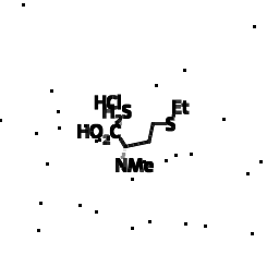 CCSCC[C@H](NC)C(=O)O.Cl.S